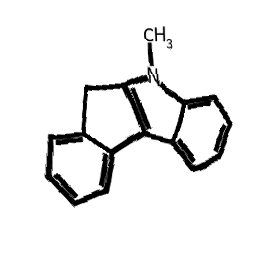 Cn1c2c(c3ccccc31)-c1ccccc1C2